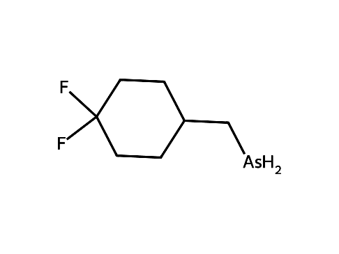 FC1(F)CCC(C[AsH2])CC1